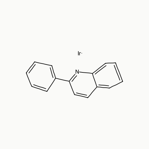 [Ir].c1ccc(-c2ccc3ccccc3n2)cc1